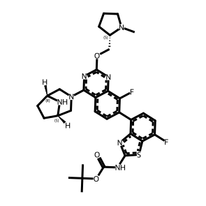 CN1CCC[C@H]1COc1nc(N2C[C@H]3CC[C@@H](C2)N3)c2ccc(-c3ccc(F)c4sc(NC(=O)OC(C)(C)C)nc34)c(F)c2n1